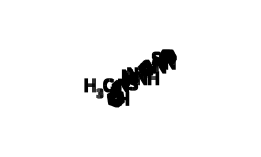 CC(CNc1nnc(N[C@@H]2CCN(c3nc4ncccc4s3)C2)s1)c1ccccc1